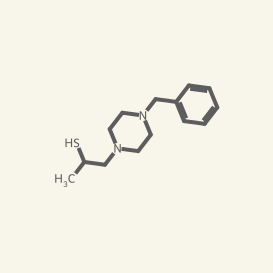 CC(S)CN1CCN(Cc2ccccc2)CC1